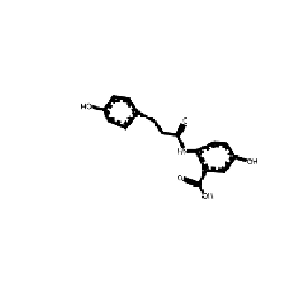 O=C(CCc1ccc(O)cc1)Nc1ccc(O)cc1C(=O)O